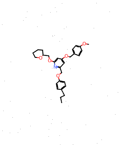 CCCc1ccc(OCc2cc(OCc3ccc(OC)cc3)cc(OCC3CCCCO3)n2)cc1